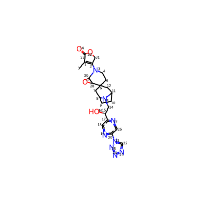 CC1=C(N2CCC3(CC4CCC(C3)N4C[C@H](O)c3cnc(-n4cnnn4)cn3)C3OC32)COC1=O